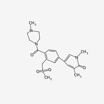 Cc1cc(-c2ccc(C(=O)N3CCN(C)CC3)c(CS(C)(=O)=O)c2)cn(C)c1=O